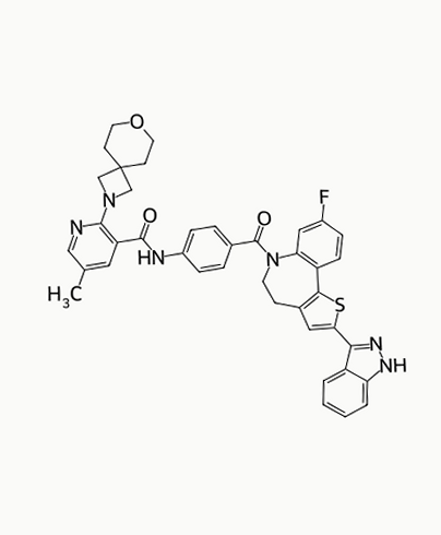 Cc1cnc(N2CC3(CCOCC3)C2)c(C(=O)Nc2ccc(C(=O)N3CCc4cc(-c5n[nH]c6ccccc56)sc4-c4ccc(F)cc43)cc2)c1